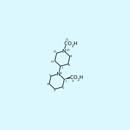 O=C(O)[C@H]1CCCCN1C1CCN(C(=O)O)CC1